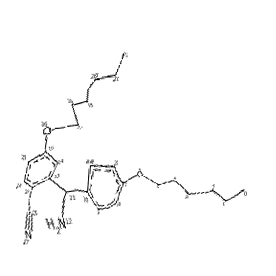 CCCCCCOc1ccc(C(N)c2cc(OCCCCCC)ccc2C#N)cc1